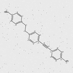 CCCCc1ccc(CCc2ccc(C#Cc3ccc(CCC)cc3)cc2)cc1